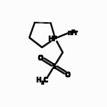 CCC[PH]1(CS(C)(=O)=O)CCCC1